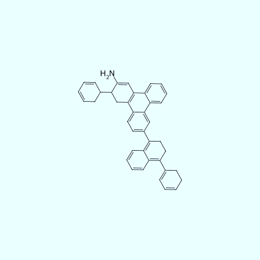 NC1=Cc2c(c3ccc(C4=c5ccccc5=C(C5=CC=CCC5)CC4)cc3c3ccccc23)CC1C1C=CC=CC1